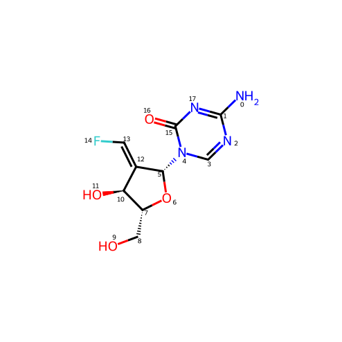 Nc1ncn([C@@H]2O[C@H](CO)[C@@H](O)/C2=C\F)c(=O)n1